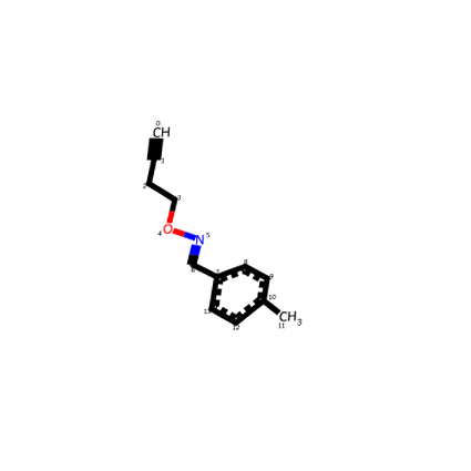 C#CCCON=[C]c1ccc(C)cc1